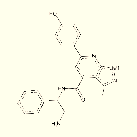 Cc1n[nH]c2nc(-c3ccc(O)cc3)cc(C(=O)NC(CN)c3ccccc3)c12